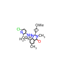 COC12CC(c3nc4c([C@@H](C)Nc5ccc(Cl)nc5C(=O)O)cc(C)cc4c(=O)n3C)(C1)C2